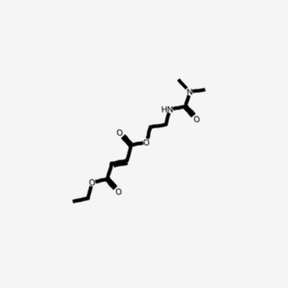 CCOC(=O)/C=C/C(=O)OCCNC(=O)N(C)C